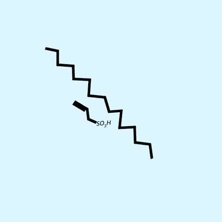 C=CCS(=O)(=O)O.CCCCCCCCCCCCCCC